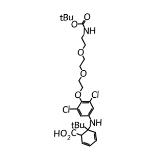 CC(C)(C)OC(=O)NCCOCCOCCOc1c(Cl)cc(NC2(C(C)(C)C)C=CC=CC2C(=O)O)cc1Cl